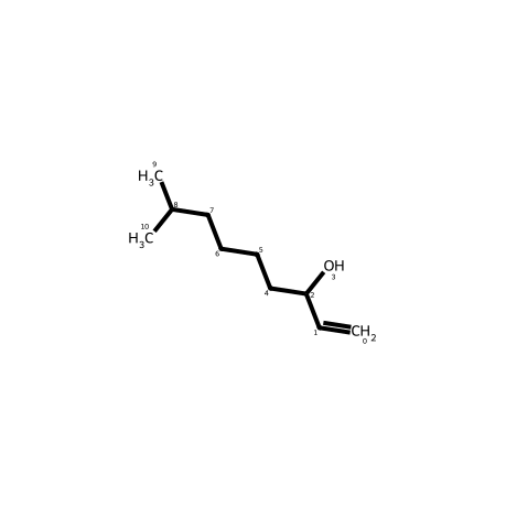 C=CC(O)CCCCC(C)C